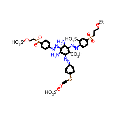 CCOCCCS(=O)(=O)c1ccc(N=Nc2c(N)c(N=Nc3ccc(S(=O)(=O)CCOS(=O)(=O)O)cc3)c(N)c(N=Nc3ccc(SC#COOS(=O)(=O)O)cc3)c2C(=O)O)c(S(=O)(=O)O)c1